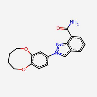 NC(=O)c1cccc2cn(-c3ccc4c(c3)OCCCCO4)nc12